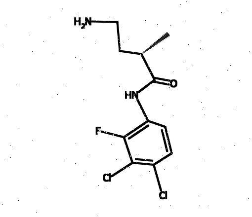 C[C@@H](CCN)C(=O)Nc1ccc(Cl)c(Cl)c1F